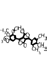 COc1cc(C2=C3C(=O)OC(c4cc(C)c(C)c(C)c4)=C3C(=O)O2)cc(OC)c1OC